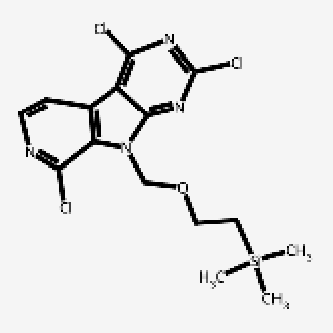 C[Si](C)(C)CCOCn1c2nc(Cl)nc(Cl)c2c2ccnc(Cl)c21